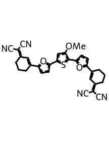 COc1cc(-c2ccc(C3=CC(=C(C#N)C#N)CCC3)o2)sc1-c1ccc(C2=CC(=C(C#N)C#N)CCC2)o1